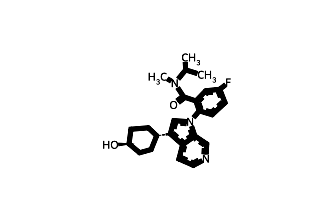 CC(C)N(C)C(=O)c1cc(F)ccc1-n1cc([C@H]2CC[C@H](O)CC2)c2ccncc21